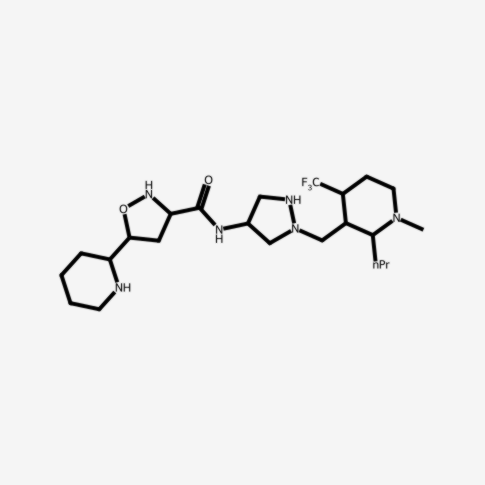 CCCC1C(CN2CC(NC(=O)C3CC(C4CCCCN4)ON3)CN2)C(C(F)(F)F)CCN1C